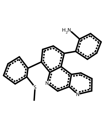 CSc1ccccc1-c1ccc(-c2ccccc2N)c2c1ncc1ncccc12